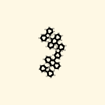 c1ccc2c(-n3c4ccccc4c4ccccc43)c3ccccc3c(-c3ccc4c(c3)sc3c(-c5c6ccccc6c(-n6c7ccccc7c7ccccc76)c6ccccc56)cccc34)c2c1